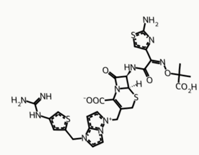 CC(C)(O/N=C(\C(=O)N[C@@H]1C(=O)N2C(C(=O)[O-])=C(C[n+]3ccc4n(Cc5cc(NC(=N)N)cs5)ccn43)CS[C@H]12)c1csc(N)n1)C(=O)O